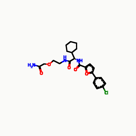 NC(=O)COCCNC(=O)[C@@H](NC(=O)c1ccc(-c2ccc(Cl)cc2)o1)C1CCCCC1